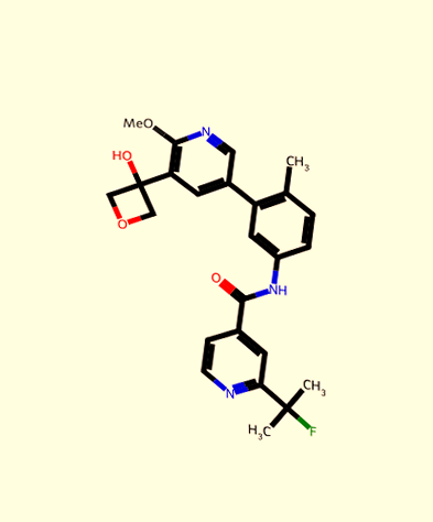 COc1ncc(-c2cc(NC(=O)c3ccnc(C(C)(C)F)c3)ccc2C)cc1C1(O)COC1